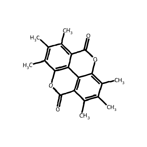 Cc1c(C)c2oc(=O)c3c(C)c(C)c(C)c4oc(=O)c(c1C)c2c43